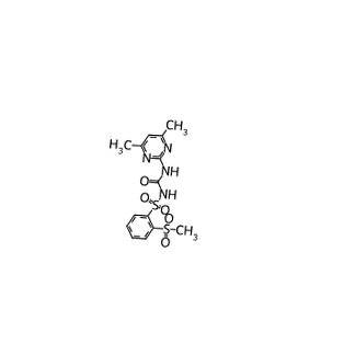 Cc1cc(C)nc(NC(=O)NS(=O)(=O)c2ccccc2S(C)(=O)=O)n1